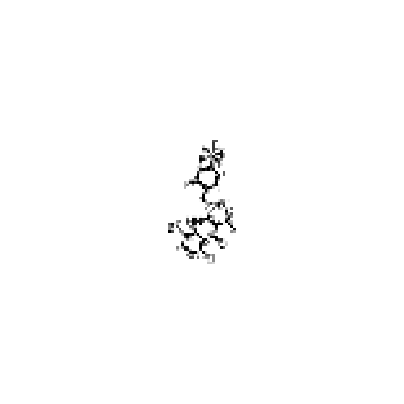 CC(=O)c1c([S+]([O-])Cc2ccc(S(F)(F)(F)(F)F)cc2F)[nH]c2c(Br)ccc(Cl)c2c1=O